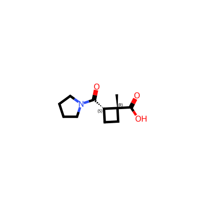 C[C@@]1(C(=O)O)CC[C@@H]1C(=O)N1CCCC1